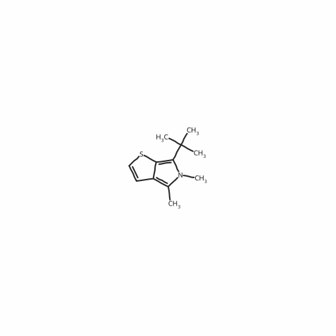 Cc1c2ccsc2c(C(C)(C)C)n1C